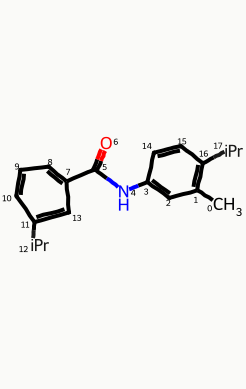 Cc1cc(NC(=O)c2cccc(C(C)C)c2)ccc1C(C)C